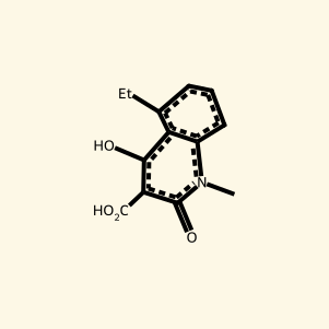 CCc1cccc2c1c(O)c(C(=O)O)c(=O)n2C